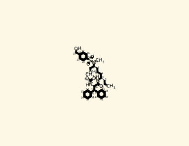 CCC[C@@H](CCC[C@@H](CO)N(C)S(=O)(=O)c1ccc(CO)cc1)NC(=O)[C@@H](NC(=O)OC)C(c1ccccc1)c1ccccc1